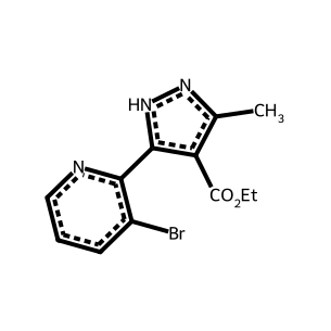 CCOC(=O)c1c(C)n[nH]c1-c1ncccc1Br